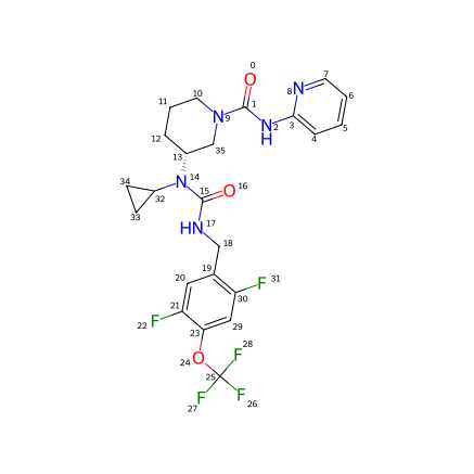 O=C(Nc1ccccn1)N1CCC[C@@H](N(C(=O)NCc2cc(F)c(OC(F)(F)F)cc2F)C2CC2)C1